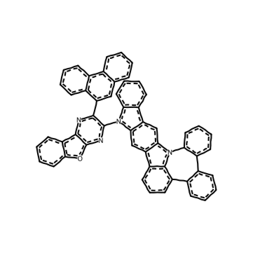 c1ccc2c(c1)-c1ccccc1-n1c3cc4c5ccccc5n(-c5nc6oc7ccccc7c6nc5-c5cc6ccccc6c6ccccc56)c4cc3c3cccc-2c31